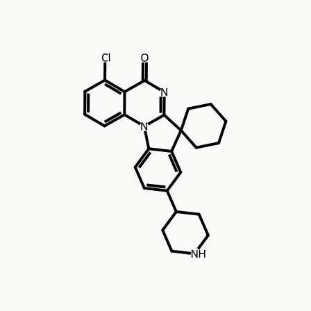 O=c1nc2n(c3cccc(Cl)c13)-c1ccc(C3CCNCC3)cc1C21CCCCC1